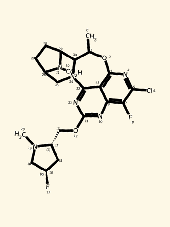 CC1Oc2nc(Cl)c(F)c3nc(OC[C@@H]4C[C@@H](F)CN4C)nc(c23)N2CC3CCC(C12)N3C(=O)O